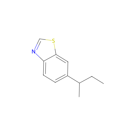 CCC(C)c1ccc2ncsc2c1